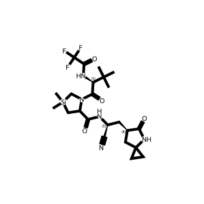 CC(C)(C)[C@H](NC(=O)C(F)(F)F)C(=O)N1C[Si](C)(C)CC1C(=O)N[C@H](C#N)C[C@@H]1CC2(CC2)NC1=O